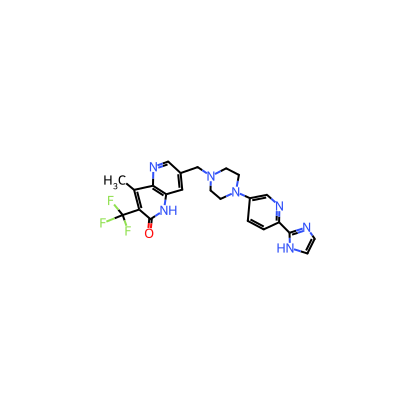 Cc1c(C(F)(F)F)c(=O)[nH]c2cc(CN3CCN(c4ccc(-c5ncc[nH]5)nc4)CC3)cnc12